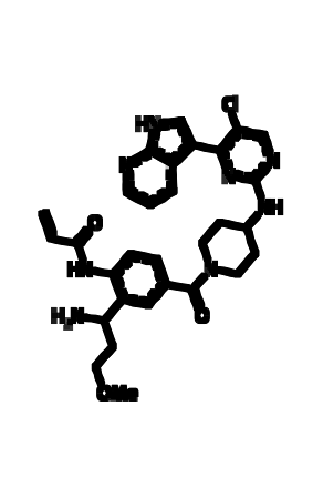 C=CC(=O)Nc1ccc(C(=O)N2CCC(Nc3ncc(Cl)c(-c4c[nH]c5ncccc45)n3)CC2)cc1C(N)CCOC